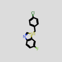 Fc1ccc2c(c1)[SH](Cc1ccc(Cl)cc1)C=N2